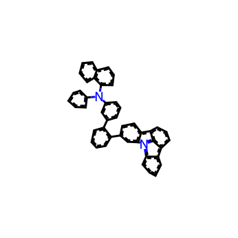 c1ccc(N(c2cccc(-c3ccccc3-c3ccc4c5cccc6c7ccccc7n(c4c3)c65)c2)c2cccc3ccccc23)cc1